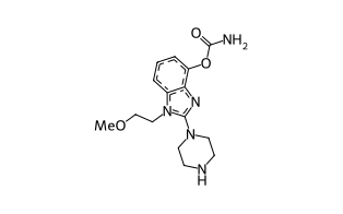 COCCn1c(N2CCNCC2)nc2c(OC(N)=O)cccc21